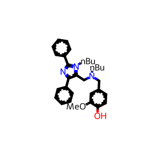 CCCCN(Cc1ccc(O)c(OC)c1)Cc1c(-c2ccccc2)nc(-c2ccccc2)n1CCCC